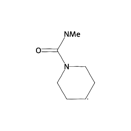 CNC(=O)N1CC[CH]CC1